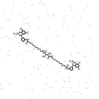 CN1Cc2c(Cl)cc(Cl)cc2C(c2cccc(NC(=O)CCOCCOCCOCCNC(=O)C(O)C(O)C(=O)NCCOCCOCCOCCC(=O)Nc3cccc(C4CN(C)Cc5c(Cl)cc(Cl)cc54)c3)c2)C1